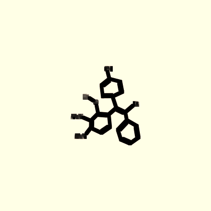 CCOc1c(C(=C(CC)c2ccccc2)c2ccc(O)cc2)ccc(NC)c1NC